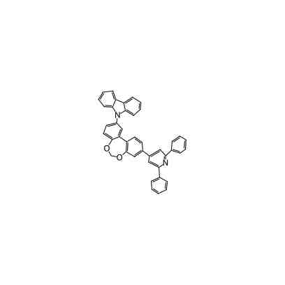 c1ccc(-c2cc(-c3ccc4c(c3)OCOc3ccc(-n5c6ccccc6c6ccccc65)cc3-4)cc(-c3ccccc3)n2)cc1